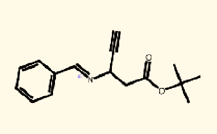 C#CC(CC(=O)OC(C)(C)C)/N=C/c1ccccc1